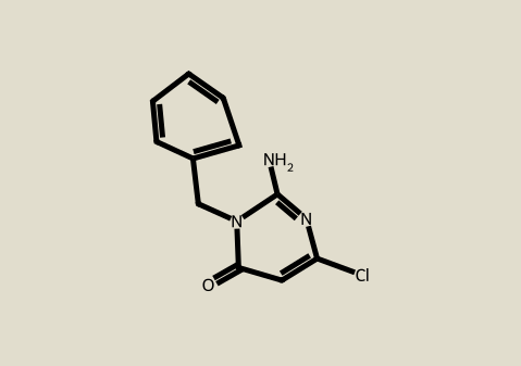 Nc1nc(Cl)cc(=O)n1Cc1ccccc1